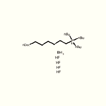 B.CCCCCCCCCCCCCCCC[PH](CCCC)(CCCC)CCCC.F.F.F.F